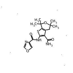 CC1(C)Cc2c(sc(NC(=O)c3cocn3)c2C(N)=O)C(C)(C)O1